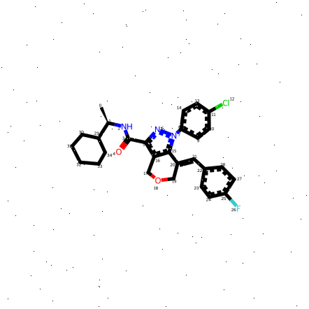 C[C@@H](NC(=O)c1nn(-c2ccc(Cl)cc2)c2c1COC/C2=C\c1ccc(F)cc1)C1CCCCC1